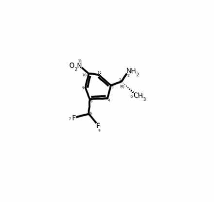 C[C@@H](N)c1cc(C(F)F)cc([N+](=O)[O-])c1